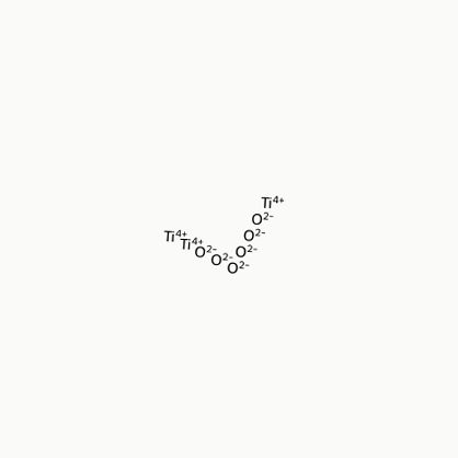 [O-2].[O-2].[O-2].[O-2].[O-2].[O-2].[Ti+4].[Ti+4].[Ti+4]